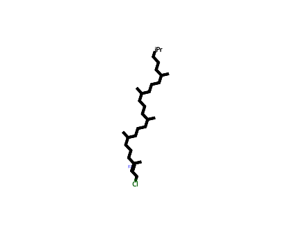 C/C(=C\CCl)CCCC(C)CCCC(C)CCCC(C)CCCC(C)CCCC(C)C